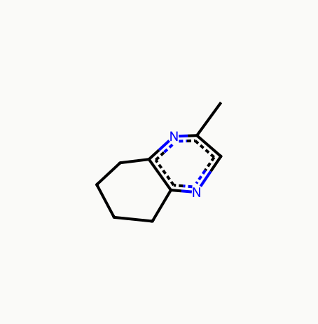 Cc1cnc2c(n1)CCCC2